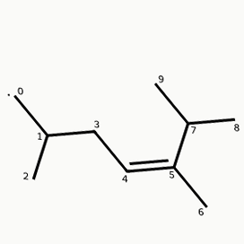 [CH2]C(C)CC=C(C)C(C)C